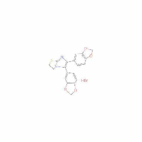 Br.c1cc2c(cc1-c1nc3n(c1-c1ccc4c(c1)OCO4)CCS3)OCO2